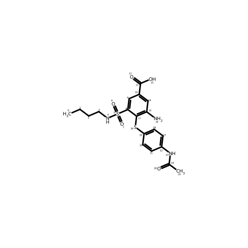 CCCCNS(=O)(=O)c1cc(C(=O)O)cc(N)c1Sc1ccc(NC(C)=O)cc1